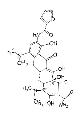 CN(C)c1cc(NC(=O)c2ccco2)c(O)c2c1CC1CC3[C@H](N(C)C)C(O)=C(C(N)=O)C(=O)[C@@]3(O)C(O)=C1C2=O